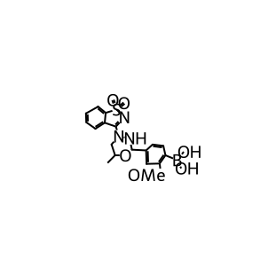 COc1cc(C2NN(C3=NS(=O)(=O)c4ccccc43)CC(C)O2)ccc1B(O)O